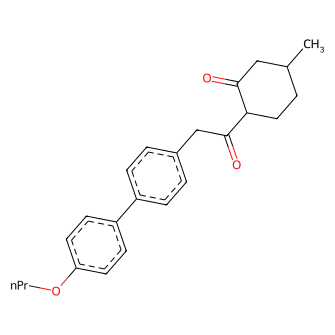 CCCOc1ccc(-c2ccc(CC(=O)C3CCC(C)CC3=O)cc2)cc1